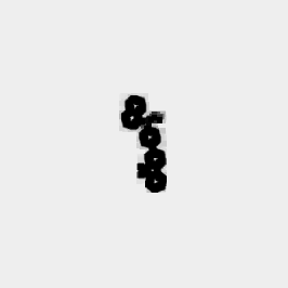 CC(C)N(c1ccc(-c2ccc3c(c2)C(C)(C)c2ccccc2-3)cc1)c1cccc2ccccc12